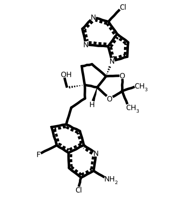 CC1(C)O[C@@H]2[C@@](CO)(CCc3cc(F)c4cc(Cl)c(N)nc4c3)CC[C@@]2(n2ccc3c(Cl)ncnc32)O1